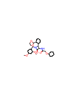 COc1ccc(CN2C(=O)C(NC(=O)COc3ccccc3)C2c2ccccc2C2OCCO2)c(OC)c1